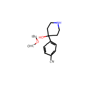 CC(C)(C)OC=O.N#Cc1ccc(C2(O)CCNCC2)cc1